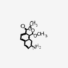 COC(=O)c1ccc2ccc(N)cc2c1C(=O)OC